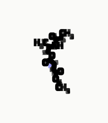 CCOC(=O)/C=C/C(=O)OC[C@@H](C)NC(=O)CC